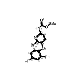 CC(C)(C)OC(=O)Nc1ccc(Oc2ccc(F)cc2F)c(Br)n1